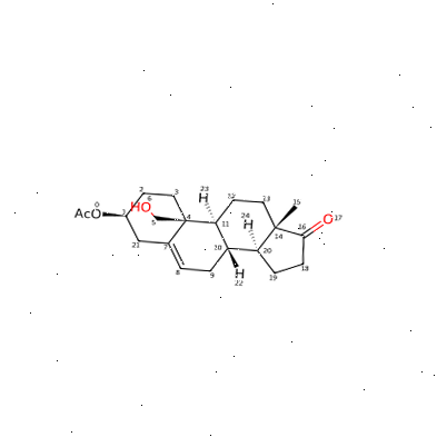 CC(=O)O[C@H]1CC[C@@]2(CO)C(=CC[C@@H]3[C@@H]2CC[C@]2(C)C(=O)CC[C@@H]32)C1